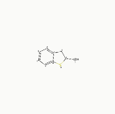 CC(C)(C)C1Cc2ccccc2S1